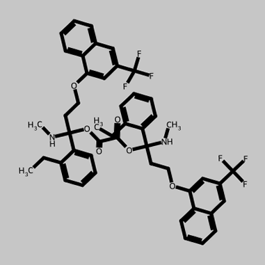 CCc1ccccc1C(CCOc1cc(C(F)(F)F)cc2ccccc12)(NC)OC(=O)C(=O)OC(CCOc1cc(C(F)(F)F)cc2ccccc12)(NC)c1ccccc1CC